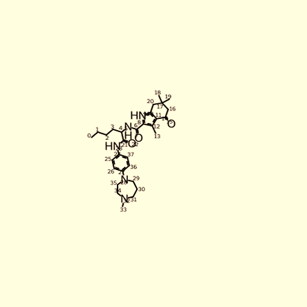 CCCCC(NC(=O)c1[nH]c2c(c1C)C(=O)CC(C)(C)C2)C(=O)Nc1ccc(N2CCCN(C)CC2)cc1